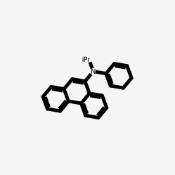 CC(C)N(C1=CCCC=C1)c1cc2ccccc2c2ccccc12